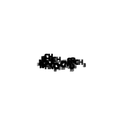 COc1cc(-c2[nH]c3ccc(C4CCN(C(=O)C5CCCN5C(C)=O)CC4)cc3c2C(C)C)cn2ncnc12